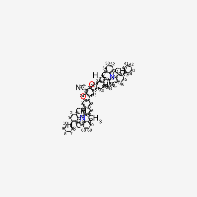 Cc1ccc(-c2ccccc2)cc1N(c1ccc2cc3c(cc2c1)oc1c(C#N)c2oc4cc5cc(N(c6cc(-c7ccccc7)ccc6C)c6c(C)cccc6C)ccc5cc4c2cc13)c1c(C)cccc1C